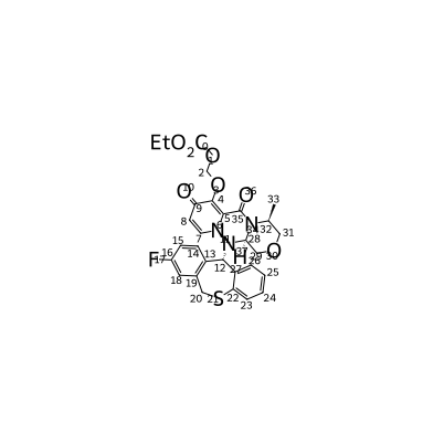 CCOC(=O)OCOc1c2n(ccc1=O)N([C@H]1c3ccc(F)cc3CSc3ccccc31)[C@@H]1COC[C@H](C)N1C2=O